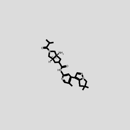 Cc1cnc(NC(=O)C2C[C@@H]3CN(C(=O)C(C)C)C[C@]3(N)C2)cc1-c1cnn2c1CC(C)(C)C2